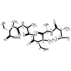 CNC(=O)[C@H](CC(C)C)N(C)C(=O)NC(C)C(=O)NC(=O)[C@H](CC(C)C)N(C)C(=O)[C@@H](NC(=O)[C@H](C)N(C)C(C)=O)C(C)C